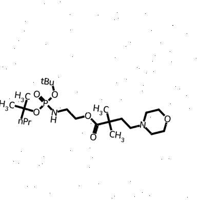 CCCC(C)(C)OP(=O)(NCCOC(=O)C(C)(C)CCN1CCOCC1)OC(C)(C)C